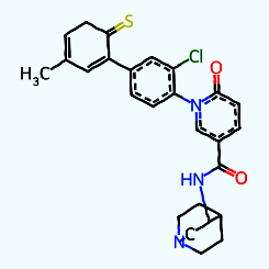 CC1=CCC(=S)C(c2ccc(-n3cc(C(=O)NC4CN5CCC4CC5)ccc3=O)c(Cl)c2)=C1